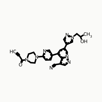 C#CC(=O)N1CCN(c2ccc(-c3cc(-c4cnn(CC(C)O)c4)cn4ncc(C#N)c34)cn2)CC1